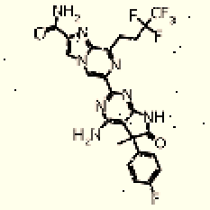 CC1(c2ccc(F)cc2)C(=O)Nc2nc(-c3cn4cc(C(N)=O)nc4c(CCC(F)(F)C(F)(F)F)n3)nc(N)c21